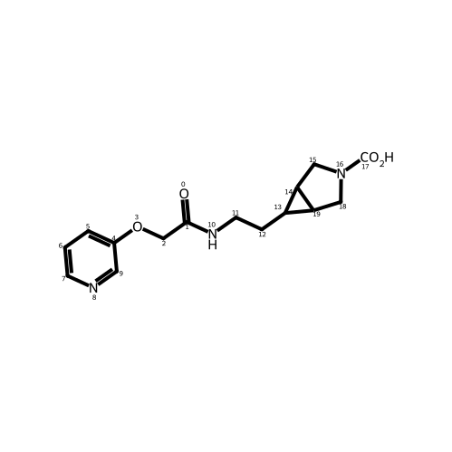 O=C(COc1cccnc1)NCCC1C2CN(C(=O)O)CC12